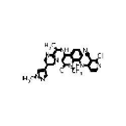 CC(Nc1cc(=O)n(C)c2c(Nc3ccnc(Cl)c3C#N)cccc12)c1ncc(-c2cnn(C)c2)cn1